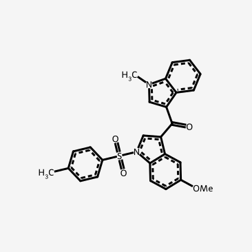 COc1ccc2c(c1)c(C(=O)c1cn(C)c3ccccc13)cn2S(=O)(=O)c1ccc(C)cc1